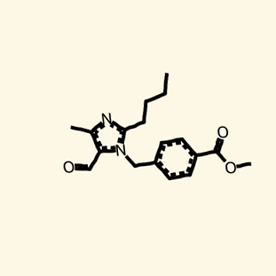 CCCCc1nc(C)c(C=O)n1Cc1ccc(C(=O)OC)cc1